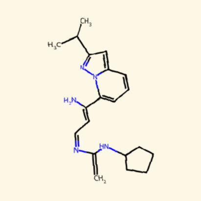 C=C(/N=C\C=C(/N)c1cccc2cc(C(C)C)nn12)NC1CCCC1